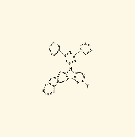 Fc1ccc2c(n1)c1cc3c(cc1n2-c1cc(-c2ccccc2)nc(-c2ccccc2)c1)sc1ccccc13